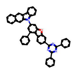 c1ccc(-c2nc(-c3ccccc3)nc(-c3ccc4c(c3)oc3cc(-n5c6ccccc6c6cc7ccccc7cc65)cc(-c5ccccc5)c34)n2)cc1